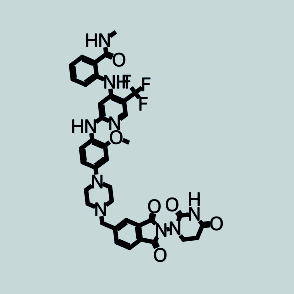 CNC(=O)c1ccccc1Nc1cc(Nc2ccc(N3CCN(Cc4ccc5c(c4)C(=O)N(N4CCC(=O)NC4=O)C5=O)CC3)cc2OC)ncc1C(F)(F)F